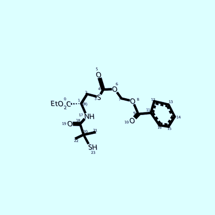 CCOC(=O)[C@H](CSC(=O)OCOC(=O)c1ccccc1)NC(=O)C(C)(C)S